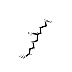 CCCCCCCCCCC(N)COCCCC(=O)O